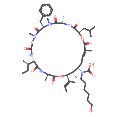 C/C=C(\C)[C@H]1OC(=O)[C@@H](C)NC(=O)[C@H]([C@H](C)CC)NC(=O)CN(C)C(=O)[C@@H](Cc2ccccc2)N(C)C(=O)[C@H](C)NC(=O)[C@@H](CC(C)C)OC(=O)/C(C)=C/C[C@H](N(CCCCCCO)C(=O)O)[C@@H]1C